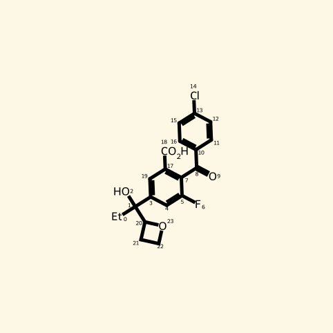 CCC(O)(c1cc(F)c(C(=O)c2ccc(Cl)cc2)c(C(=O)O)c1)C1CCO1